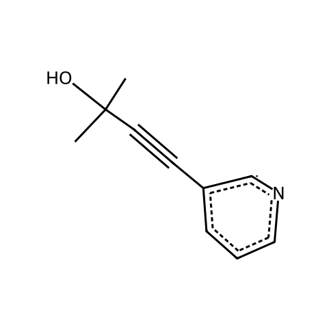 CC(C)(O)C#Cc1[c]nccc1